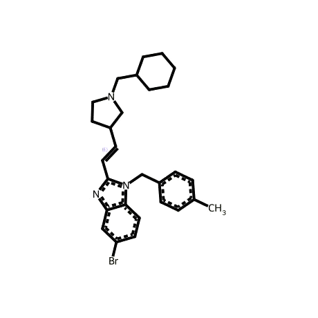 Cc1ccc(Cn2c(/C=C/C3CCN(CC4CCCCC4)C3)nc3cc(Br)ccc32)cc1